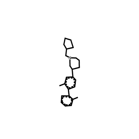 Cc1ccccc1-c1ccc(C2CCCN(CC3CCCC3)C2)cc1C